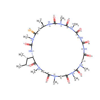 CC[C@H](C)[C@@H]1NC(=O)N(C)C(=P)C[C@@H](C)NC(=O)N(C)C(=O)N(C)C(=O)NC(=O)NC(=O)CN(C)C(=O)N(C)C(=O)CN(C)C(=O)CN(C)C1=O